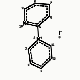 [I-].c1cc[n+](-c2ccccn2)cc1